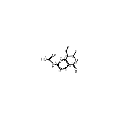 CCC1c2nc(NC(=O)O)ccc2C(=O)OC1C